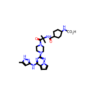 Cc1cc(Nc2nc(N3CCN(C(=O)C(C)(C)NC(=O)C4CCC(NC(=O)O)CC4)CC3)nn3cccc23)n[nH]1